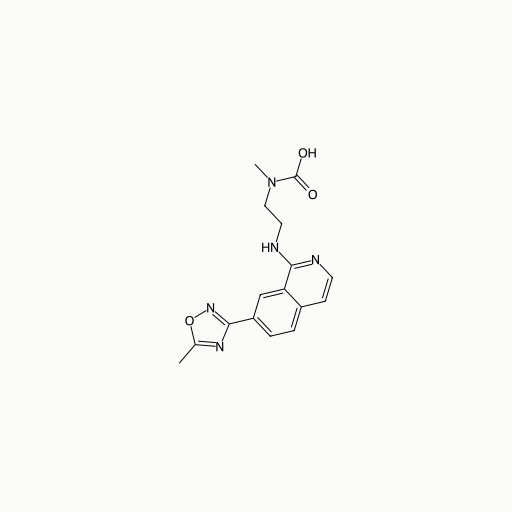 Cc1nc(-c2ccc3ccnc(NCCN(C)C(=O)O)c3c2)no1